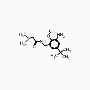 COc1c(N)cc(C(C)(C)C)cc1CNC(=O)CN(C)C